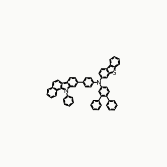 c1ccc(-c2ccc(N(c3ccc(-c4ccc5c6ccc7ccccc7c6n(-c6ccccc6)c5c4)cc3)c3ccc4c(c3)sc3ccccc34)cc2-c2ccccc2)cc1